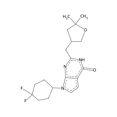 CC1(C)CC(Cc2nc3c(ccn3C3CCC(F)(F)CC3)c(=O)[nH]2)CO1